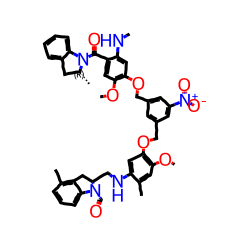 CNc1cc(OCc2cc(COc3cc(NCC4Cc5c(C)cccc5N4C=O)c(C)cc3OC)cc([N+](=O)[O-])c2)c(OC)cc1C(=O)N1c2ccccc2C[C@H]1C